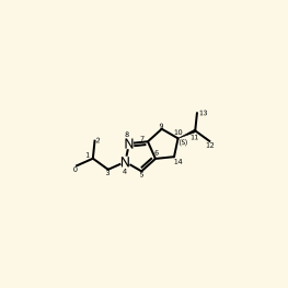 CC(C)Cn1cc2c(n1)C[C@@H](C(C)C)C2